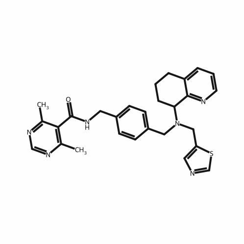 Cc1ncnc(C)c1C(=O)NCc1ccc(CN(Cc2cncs2)C2CCCc3cccnc32)cc1